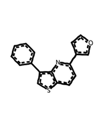 c1ccc(-c2csc3ccc(-c4ccoc4)nc23)cc1